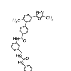 Cc1nnc(-c2ccc(C)c(-c3ccc(C(=O)Nc4cccc(CNC(=O)Nc5ccccc5)c4)cc3)c2)o1